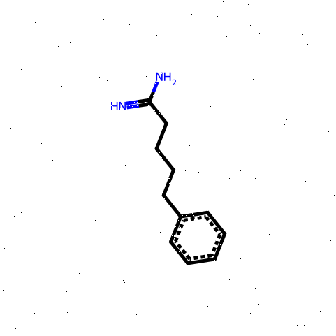 N=C(N)CCCCc1ccccc1